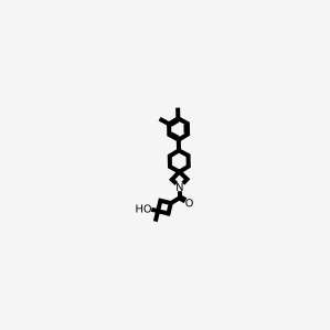 Cc1ccc(C2CCC3(CC2)CN(C(=O)C2CC(C)(O)C2)C3)cc1C